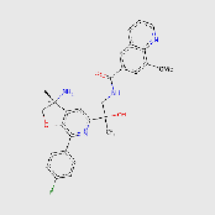 COc1cc(C(=O)NCC(O)(c2cc3c(c(-c4ccc(F)cc4)n2)OC[C@]3(C)N)C(F)(F)F)cc2cccnc12